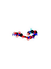 O=C1CCC(N2Cc3cc(OCCCCCC(=O)N4CCC(n5cc(-c6cnc7cccc(-c8cc(F)c(CN9CCOCC9)c(F)c8)c7n6)cn5)CC4)ccc3C2=O)C(=O)N1